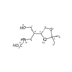 CC1(C)OCC(C(CO)CNC(=O)O)O1